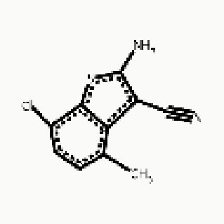 Cc1ccc(Cl)c2sc(N)c(C#N)c12